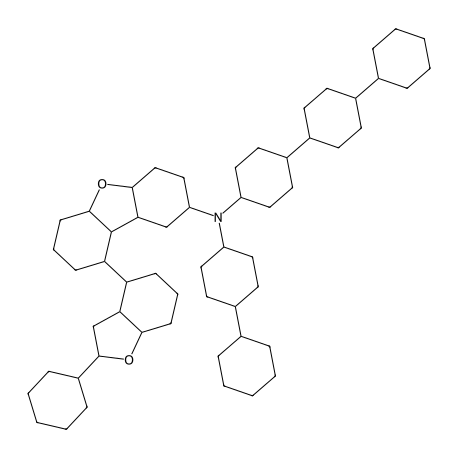 C1CCC(C2CCC(C3CCC(N(C4CCC(C5CCCCC5)CC4)C4CCC5OC6CCCC(C7CCCC8OC(C9CCCCC9)CC87)C6C5C4)CC3)CC2)CC1